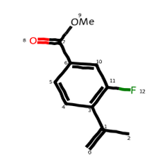 C=C(C)c1ccc(C(=O)OC)cc1F